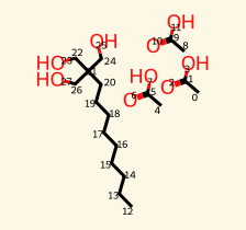 CC(=O)O.CC(=O)O.CC(=O)O.CCCCCCCCCC(CO)(CO)CO